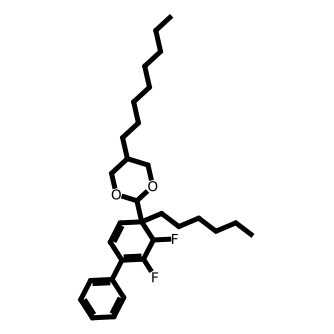 CCCCCCCCC1COC(C2(CCCCCC)C=CC(c3ccccc3)=C(F)C2F)OC1